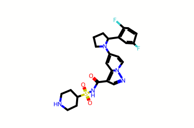 O=C(NS(=O)(=O)C1CCNCC1)c1cnn2ccc(N3CCCC3c3cc(F)ccc3F)cc12